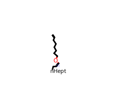 C=CCCCCCCO/C=C\CCCCCCCC